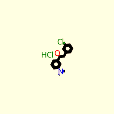 CN(C)c1cccc(C(=O)Cc2cccc(Cl)c2)c1.Cl